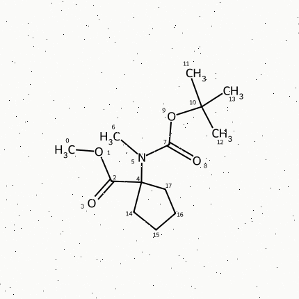 COC(=O)C1(N(C)C(=O)OC(C)(C)C)CCCC1